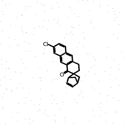 O=C1c2cc3cc(Cl)ccc3cc2CCC12CC1C=CC2C1